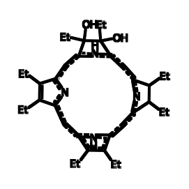 CCC1=C(CC)c2cc3[nH]c(cc4nc(cc5[nH]c(cc1n2)C(O)(CC)C5(O)CC)C(CC)C4CC)c(CC)c3CC